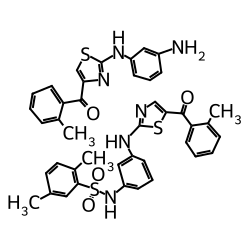 Cc1ccc(C)c(S(=O)(=O)Nc2cccc(Nc3ncc(C(=O)c4ccccc4C)s3)c2)c1.Cc1ccccc1C(=O)c1csc(Nc2cccc(N)c2)n1